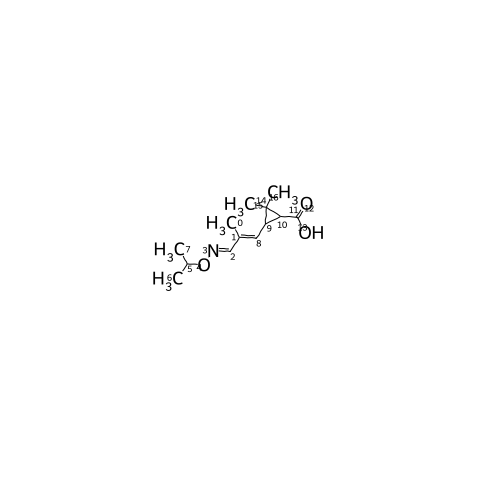 CC(/C=N/OC(C)C)=C\C1C(C(=O)O)C1(C)C